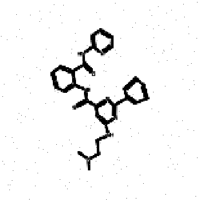 CN(C)CCNc1cc(C(=O)Nc2ccccc2C(=O)Nc2ccccn2)nc(-c2ccccc2)n1